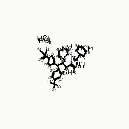 Cc1[nH]c(-c2ccccc2)nc1C(O)C(C(c1ccc(C(C)(C)C)cc1)c1ccc(C(C)(C)C)cc1)N1CCNCC1.Cl.Cl.Cl